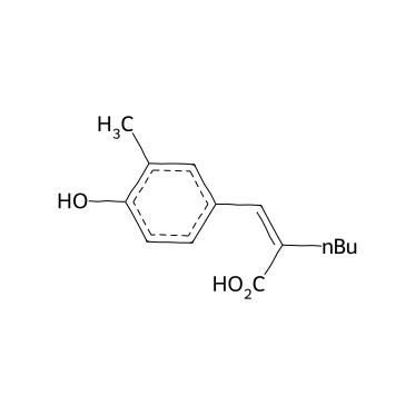 CCCCC(=Cc1ccc(O)c(C)c1)C(=O)O